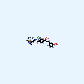 Cc1nc(C)c(C=C(NC(=O)c2ccc(C(O)CCc3cccc(O)c3)cc2Cl)C(=O)O)s1